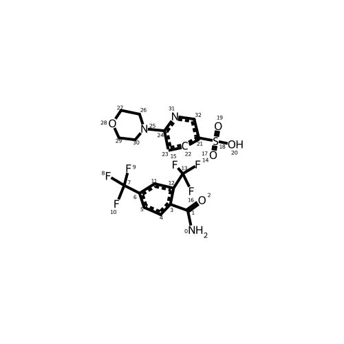 NC(=O)c1ccc(C(F)(F)F)cc1C(F)(F)F.O=S(=O)(O)c1ccc(N2CCOCC2)nc1